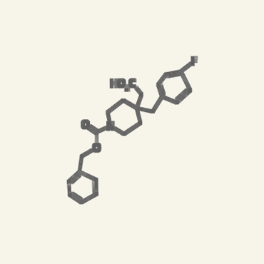 O=C(O)CC1(Cc2ccc(F)cc2)CCN(C(=O)OCc2ccccc2)CC1